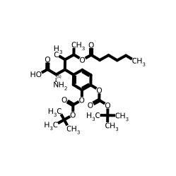 CCCCCC(=O)OC(C)C(C)C(c1ccc(OC(=O)OC(C)(C)C)c(OC(=O)OC(C)(C)C)c1)[C@H](N)C(=O)O